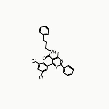 Cc1nc(-c2ccccc2)nc(-c2cc(Cl)cc(Cl)c2)c1C(=O)NCCCc1ccccc1